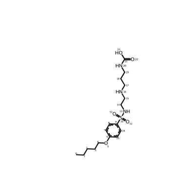 CCCCCOc1ccc(S(=O)(=O)NCCNCCCNC(=O)O)cc1